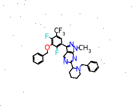 Cn1nc(-c2cc(C(F)(F)F)c(F)c(OCc3ccccc3)c2F)c2cnc(C3CCCCN3Cc3ccccc3)nc21